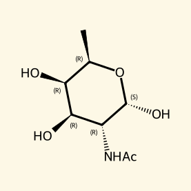 CC(=O)N[C@@H]1[C@@H](O)[C@@H](O)[C@@H](C)O[C@@H]1O